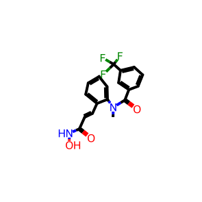 CN(C(=O)c1cccc(C(F)(F)F)c1)c1ccccc1C=CC(=O)NO